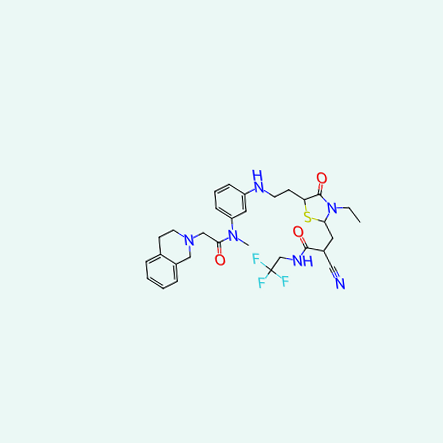 CCN1C(=O)C(CCNc2cccc(N(C)C(=O)CN3CCc4ccccc4C3)c2)SC1CC(C#N)C(=O)NCC(F)(F)F